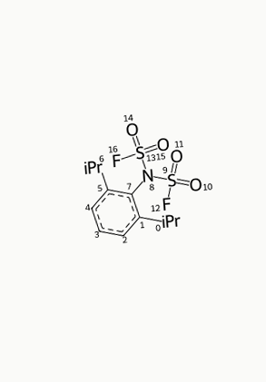 CC(C)c1cccc(C(C)C)c1N(S(=O)(=O)F)S(=O)(=O)F